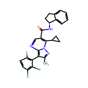 Cc1nn2c(C3CC3)c(C(=O)N[C@H]3CCc4ccccc43)cnc2c1-c1c(F)ccc(Cl)c1F